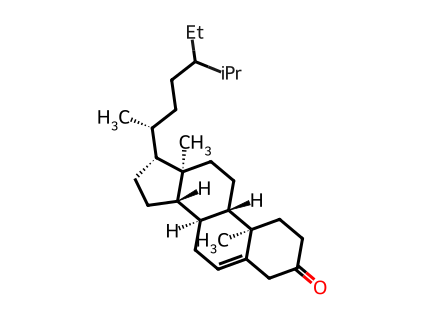 CCC(CC[C@@H](C)[C@H]1CC[C@H]2[C@@H]3CC=C4CC(=O)CC[C@]4(C)[C@H]3CC[C@]12C)C(C)C